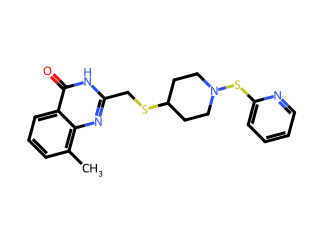 Cc1cccc2c(=O)[nH]c(CSC3CCN(Sc4ccccn4)CC3)nc12